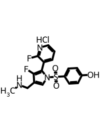 CNCc1cn(S(=O)(=O)c2ccc(O)cc2)c(-c2cccnc2F)c1F.Cl